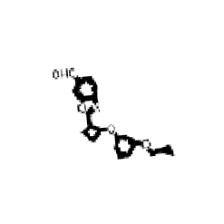 O=Cc1ccc2nc(C3CCC3Oc3cccc(OCC4CC4)c3)oc2c1